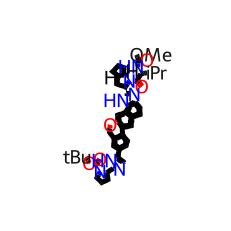 COC(=O)NC(C(=O)N1[C@H](c2nc3ccc4cc5c(cc4c3[nH]2)OCc2cc(-c3cnc(C4CCCN4C(=O)OC(C)(C)C)[nH]3)ccc2-5)C[C@@H]2CCC[C@@H]21)C(C)C